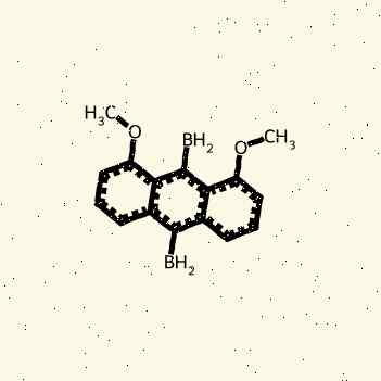 Bc1c2cccc(OC)c2c(B)c2c(OC)cccc12